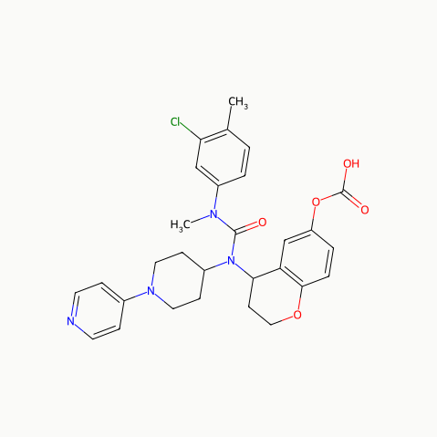 Cc1ccc(N(C)C(=O)N(C2CCN(c3ccncc3)CC2)C2CCOc3ccc(OC(=O)O)cc32)cc1Cl